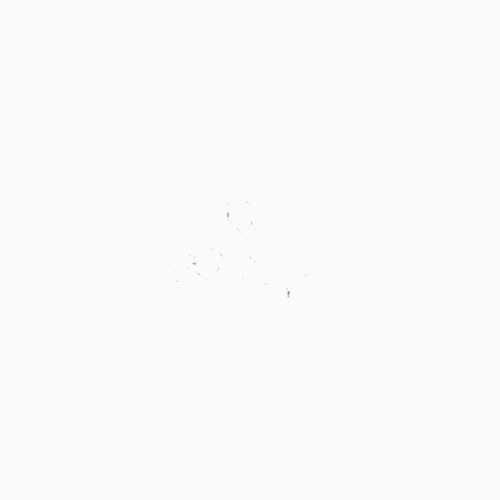 Cc1ccc(C(c2ccc(Br)cc2)N2CCN(C(=O)OC(C)(C)C)CC2)cc1